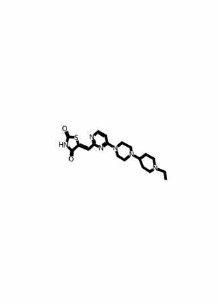 CCN1CCC(N2CCN(c3ccnc(/C=C4\SC(=O)NC4=O)n3)CC2)CC1